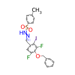 Cc1ccc(S(=O)(=O)N/N=C/c2cc(F)c(OCc3ccccc3)c(F)c2I)cc1